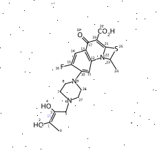 C/C(O)=C(/O)CN1CCN(c2cc3c(cc2F)c(=O)c(C(=O)O)c2n3C(C)S2)CC1